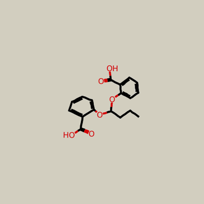 CCCC(Oc1ccccc1C(=O)O)Oc1ccccc1C(=O)O